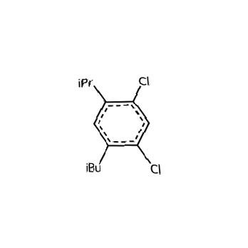 CCC(C)c1cc(C(C)C)c(Cl)cc1Cl